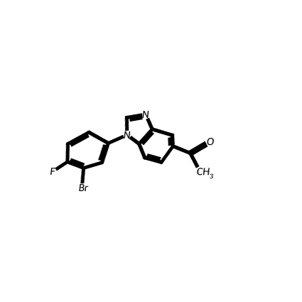 CC(=O)c1ccc2c(c1)ncn2-c1ccc(F)c(Br)c1